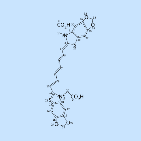 O=C(O)CN1/C(=C/C=C/C=C/C=C/c2sc3cc4c(cc3[n+]2CC(=O)O)OCO4)Sc2cc3c(cc21)OCO3